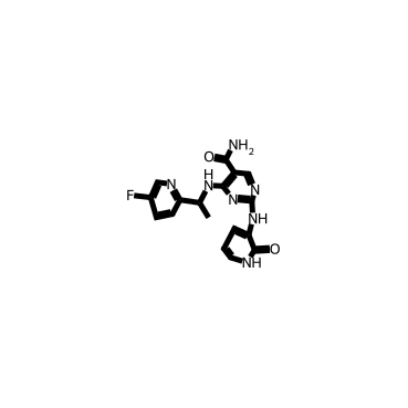 CC(Nc1nc(Nc2ccc[nH]c2=O)ncc1C(N)=O)c1ccc(F)cn1